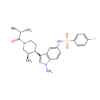 CC(C(=O)N1CC[C@@H](c2cn(C)c3ccc(NS(=O)(=O)c4ccc(F)cc4)cc23)[C@@H](C)C1)C(C)(C)C